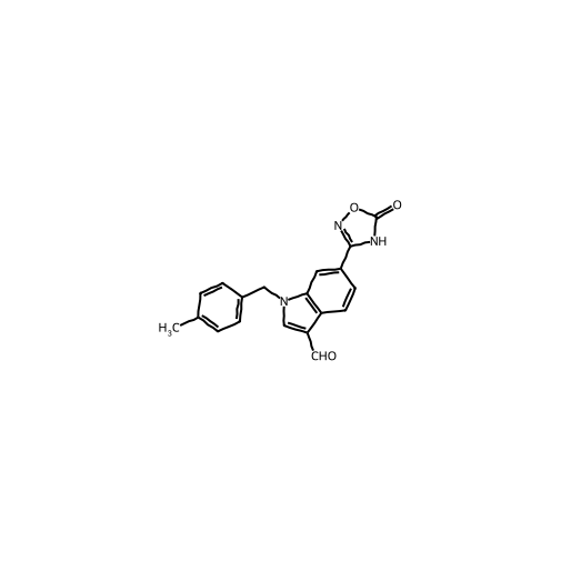 Cc1ccc(Cn2cc(C=O)c3ccc(-c4noc(=O)[nH]4)cc32)cc1